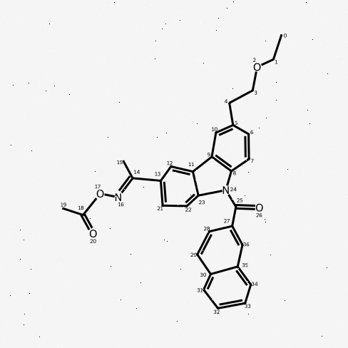 CCOCCc1ccc2c(c1)c1cc(C(C)=NOC(C)=O)ccc1n2C(=O)c1ccc2ccccc2c1